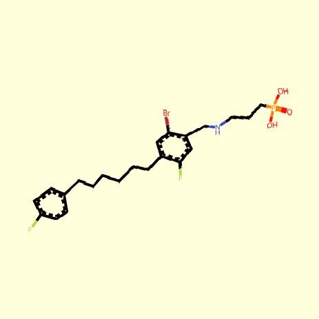 O=P(O)(O)CCCNCc1cc(F)c(CCCCCCc2ccc(F)cc2)cc1Br